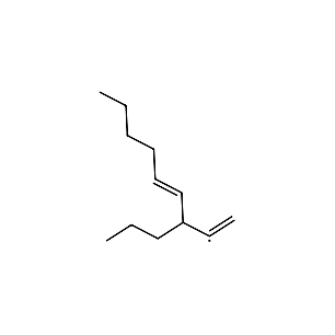 C=[C]C(C=CCCCC)CCC